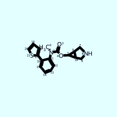 CN(C(=O)OC1C2CNCC21)c1ccccc1-c1cccs1